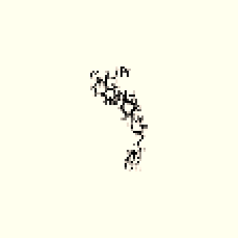 CC(C)CCn1c(=O)ccc2cnc(Nc3ccc(N4CCC(CCCN5CCOCC5)CC4)cc3)cc21